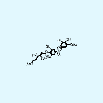 CCS(C)(Sc1cc(C(C)(C)C)c(O)c(C(C)(C)C)c1)c1cc(C(C)(C)C)c(OCCC(O)C(O)CCO)c(C(C)(C)C)c1